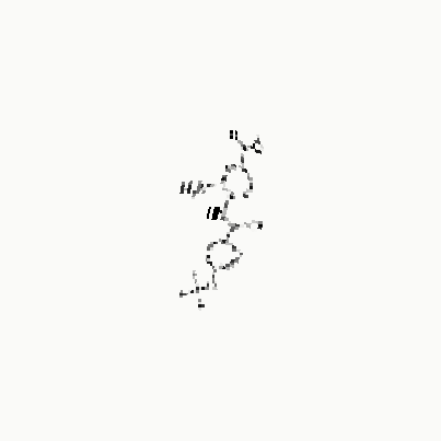 COC(=O)c1ccc(NC(=O)c2ccc(OC(F)(F)F)cc2)c(N)c1